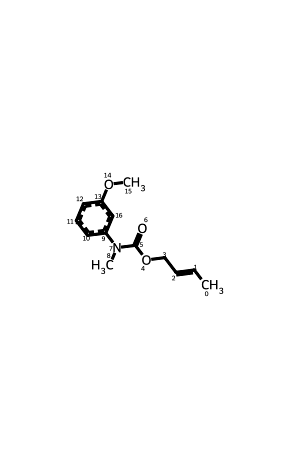 CC=CCOC(=O)N(C)c1c[c]cc(OC)c1